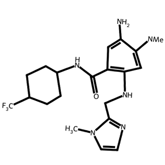 CNc1cc(NCc2nccn2C)c(C(=O)NC2CCC(C(F)(F)F)CC2)cc1N